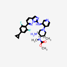 COC(=O)N(C)[C@@H]1[C@H](N)CN(c2ccncc2Nc2ncc3ccc(-c4c(F)cc(C5CC5)cc4F)nn23)C[C@@H]1C